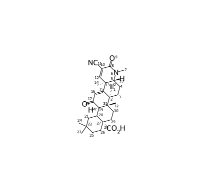 C#C[C@@]12CC[C@H]3N(C)C(=O)C(C#N)=C[C@]3(C)C1=CC(=O)[C@@H]1C3CC(C)(C)CC[C@]3(C(=O)O)CC[C@]12C